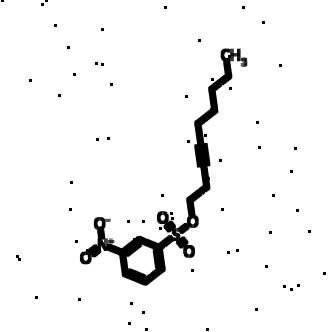 CCCCCC#CCCOS(=O)(=O)c1cccc([N+](=O)[O-])c1